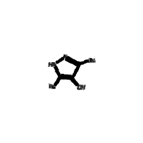 CCC(C)c1n[nH]c(C(C)CC)c1O